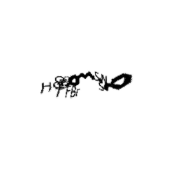 O=P(O)(O)C(F)(F)c1ccc(CCCCSc2nc(-c3ccccc3)cs2)cc1Br